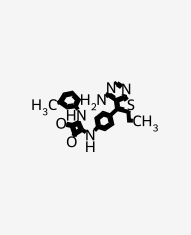 CCc1sc2ncnc(N)c2c1-c1ccc(Nc2c(Nc3cccc(C)c3)c(=O)c2=O)cc1